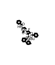 CC(C)(C)[Si](OC[C@H]1O[C@@H](n2ccc(NC(=O)c3ccccc3)nc2=O)C(F)[C@H]1OC(=O)c1ccccc1)(c1ccccc1)c1ccccc1